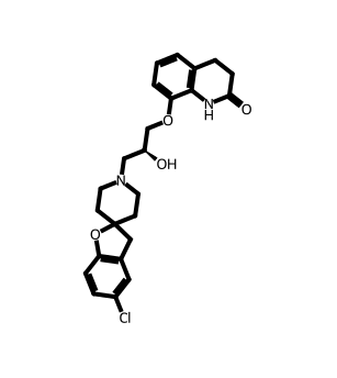 O=C1CCc2cccc(OC[C@@H](O)CN3CCC4(CC3)Cc3cc(Cl)ccc3O4)c2N1